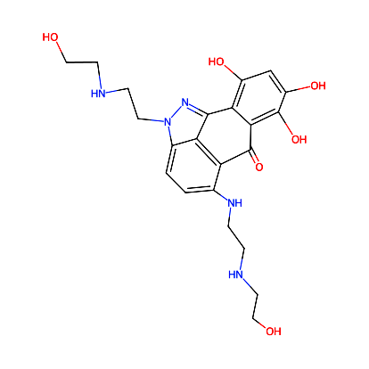 O=C1c2c(O)c(O)cc(O)c2-c2nn(CCNCCO)c3ccc(NCCNCCO)c1c23